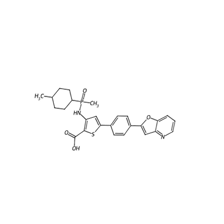 CC1CCC(P(C)(=O)Nc2cc(-c3ccc(-c4cc5ncccc5o4)cc3)sc2C(=O)O)CC1